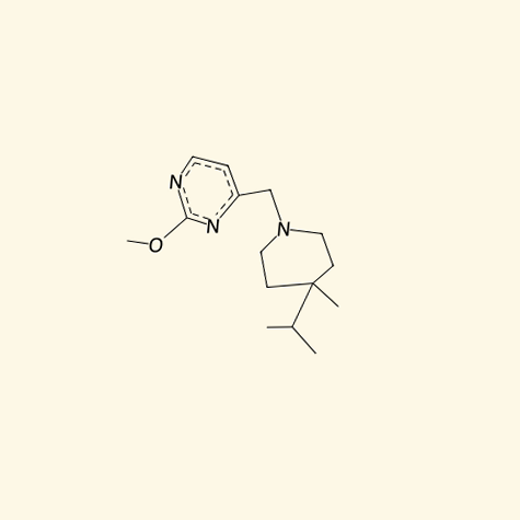 COc1nccc(CN2CCC(C)(C(C)C)CC2)n1